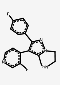 Fc1ccc(-c2nn3c(c2-c2ccncc2F)CNCC3)cc1